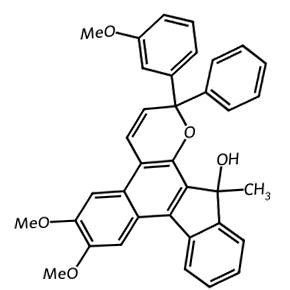 COc1cccc(C2(c3ccccc3)C=Cc3c(c4c(c5cc(OC)c(OC)cc35)-c3ccccc3C4(C)O)O2)c1